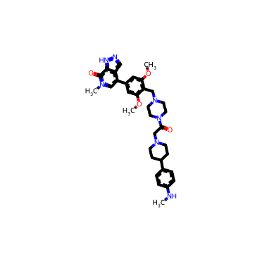 CNc1ccc(C2CCN(CC(=O)N3CCN(Cc4c(OC)cc(-c5cn(C)c(=O)c6[nH]ncc56)cc4OC)CC3)CC2)cc1